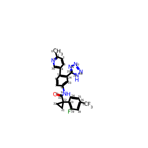 Cc1ccc(-c2ccc(NC(=O)C3(c4ccc(C(F)(F)F)cc4F)CC3)cc2-c2nnn[nH]2)cn1